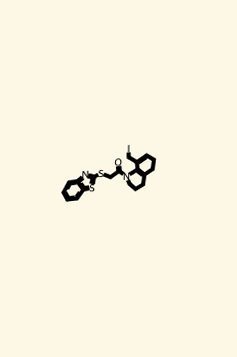 O=C(CSc1nc2ccccc2s1)N1CCCC2=C1C(CI)=CCC2